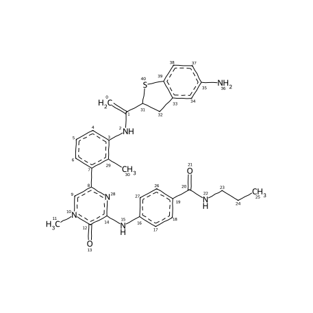 C=C(Nc1cccc(-c2cn(C)c(=O)c(Nc3ccc(C(=O)NCCC)cc3)n2)c1C)C1Cc2cc(N)ccc2S1